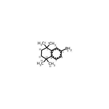 Bc1ccc2c(c1)C(C)(C)CCC2(C)C